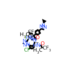 C[C@@H](C(=O)NC[C@@H]1c2ccc(Cl)c(c2)-n2ncnc2C(F)/N=C2\N[C@](CC(C)(C)C(F)(F)F)(c3ccc(-c4cnn(C5CC5)n4)cc3)C(=O)N21)C(F)(F)F